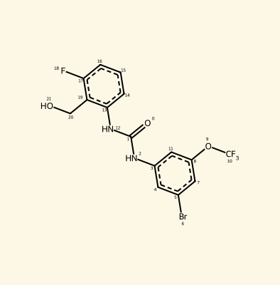 O=C(Nc1cc(Br)cc(OC(F)(F)F)c1)Nc1cccc(F)c1CO